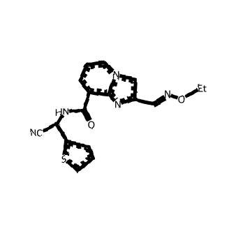 CCO/N=C/c1cn2cccc(C(=O)NC(C#N)c3cccs3)c2n1